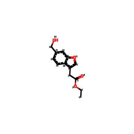 CCOC(=O)Cc1coc2cc(CO)ccc12